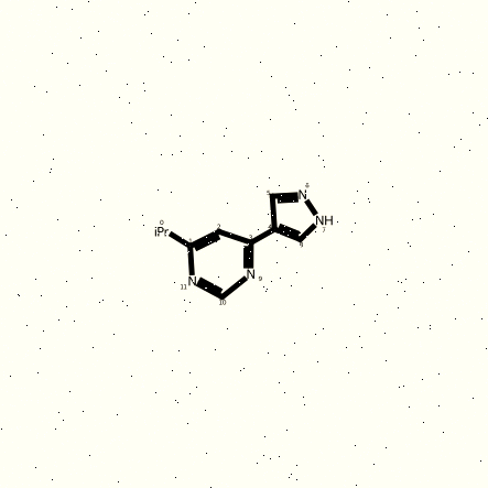 CC(C)c1cc(-c2cn[nH]c2)ncn1